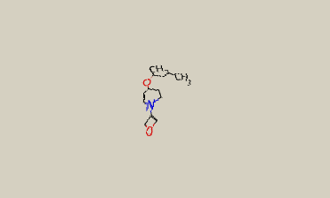 CCCC(C)OC1CCN(C2COC2)CC1